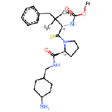 CC(C)OC(=O)N[C@H](C(=S)N1CCC[C@H]1C(=O)NCC1CCC(N)CC1)C(C)(C)Cc1ccccc1